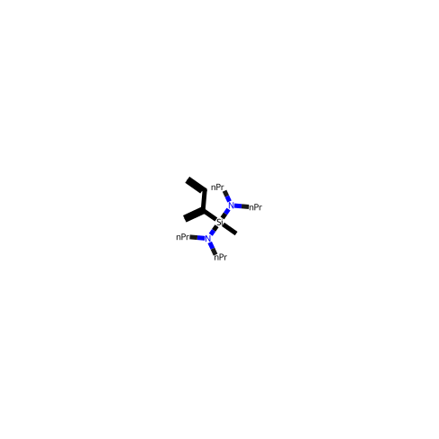 C=CC(=C)[Si](C)(N(CCC)CCC)N(CCC)CCC